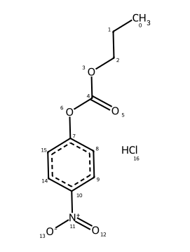 CCCOC(=O)Oc1ccc([N+](=O)[O-])cc1.Cl